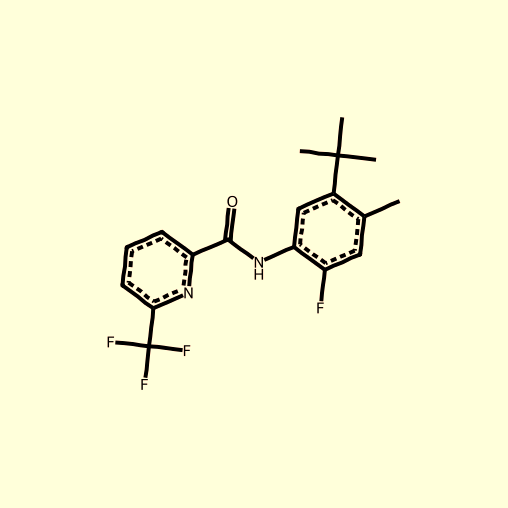 Cc1cc(F)c(NC(=O)c2cccc(C(F)(F)F)n2)cc1C(C)(C)C